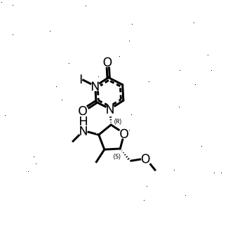 CNC1C(C)[C@@H](COC)O[C@H]1n1ccc(=O)n(I)c1=O